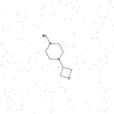 CCC(C)N1CCN(C2COC2)CC1